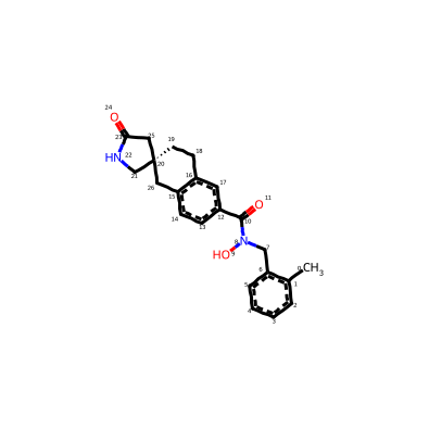 Cc1ccccc1CN(O)C(=O)c1ccc2c(c1)CC[C@@]1(CNC(=O)C1)C2